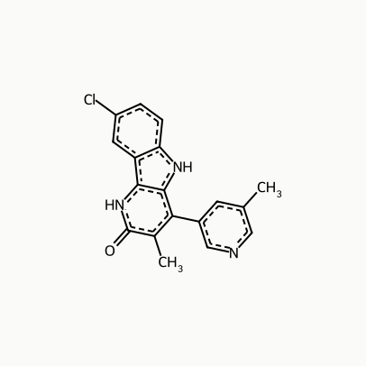 Cc1cncc(-c2c(C)c(=O)[nH]c3c2[nH]c2ccc(Cl)cc23)c1